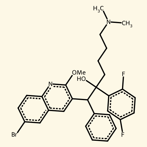 COc1nc2ccc(Br)cc2cc1C(c1ccccc1)C(O)(CCCCN(C)C)c1cc(F)ccc1F